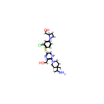 CC(N)C1(C)CCN(c2ncc(Sc3ccc(N4CCC4CO)cc3Cl)nc2CO)CC1